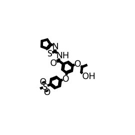 CC(CO)Oc1cc(Oc2ccc(S(C)(=O)=O)cc2)cc(C(=O)Nc2nc3c(s2)CCC3)c1